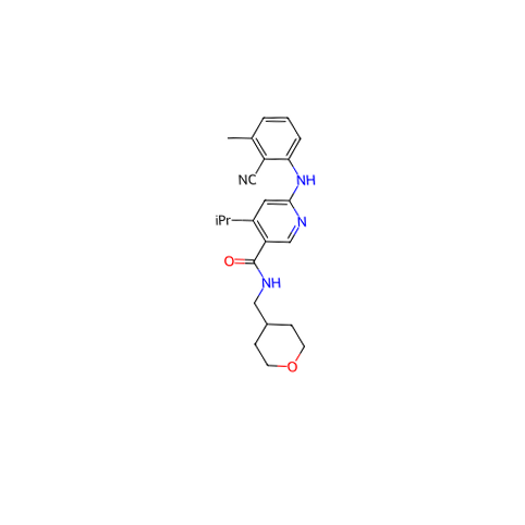 Cc1cccc(Nc2cc(C(C)C)c(C(=O)NCC3CCOCC3)cn2)c1C#N